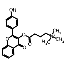 C[N+](C)(C)CCCC(=O)Oc1c(-c2ccc(O)cc2)oc2ccccc2c1=O